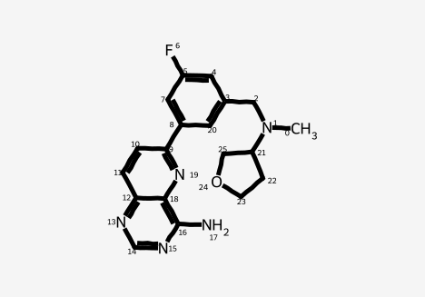 CN(Cc1cc(F)cc(-c2ccc3ncnc(N)c3n2)c1)C1CCOC1